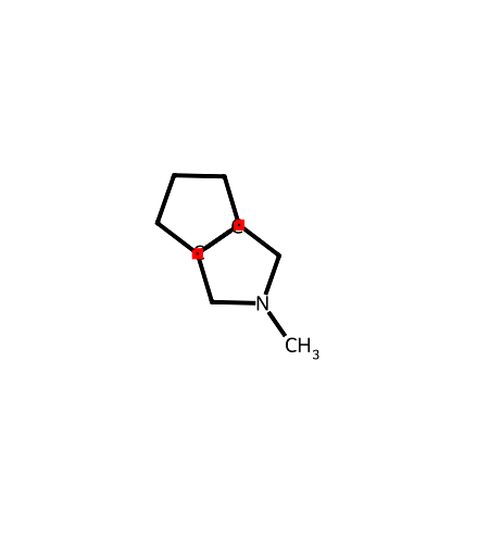 CN1CC23CCCC2(CC3)C1